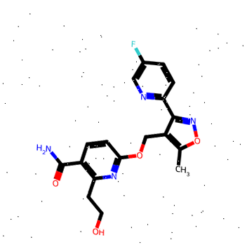 Cc1onc(-c2ccc(F)cn2)c1COc1ccc(C(N)=O)c(CCO)n1